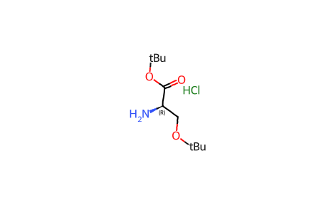 CC(C)(C)OC[C@@H](N)C(=O)OC(C)(C)C.Cl